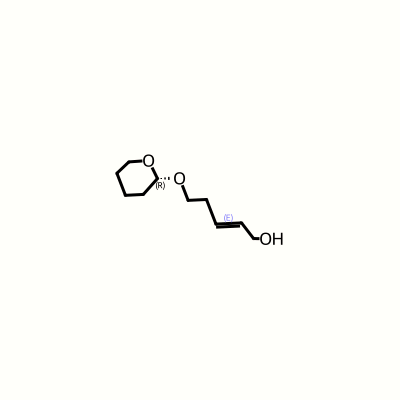 OC/C=C/CCO[C@@H]1CCCCO1